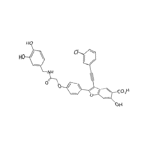 O=C(COc1ccc(-c2oc3cc(O)c(C(=O)O)cc3c2C#Cc2cccc(Cl)c2)cc1)NCc1ccc(O)c(O)c1